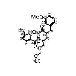 CCOCOC[C@H](C[C@H](Cc1cccc(OC)c1)C(=O)NO)NC(=O)c1ccc(Br)s1